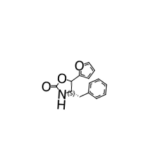 O=C1N[C@@H](Cc2ccccc2)C(c2ccco2)O1